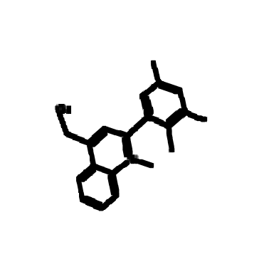 Cc1cc(C)c(C)c(-c2cc(CC(C)(C)C)c3ccccc3[n+]2C)c1